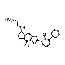 N#Cc1c2c(cc3cc(-c4cccc(-c5ccccc5)c4Cl)oc13)C(NCCC(=O)O)CC2